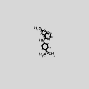 Cc1nc2c(N[C@H]3CC[C@H](N(C)C)CC3)ncnc2s1